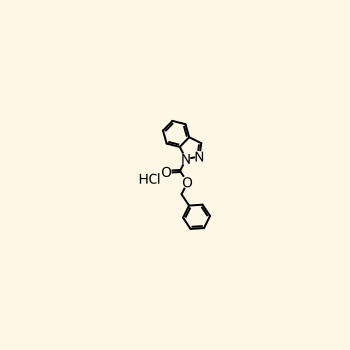 Cl.O=C(OCc1ccccc1)n1ncc2ccccc21